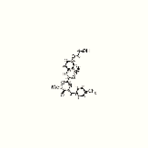 COC(=O)C(Cc1ccc(C(F)(F)F)cc1)NC(=O)[C@H](Cc1ccc(OCCO)cc1)N=[N+]=[N-]